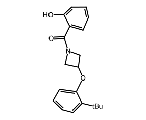 CC(C)(C)c1ccccc1OC1CN(C(=O)c2ccccc2O)C1